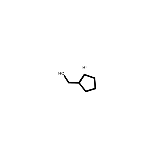 OCC1CCCC1.[H+]